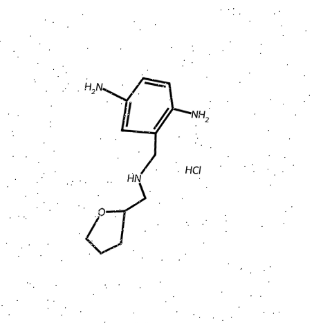 Cl.Nc1ccc(N)c(CNCC2CCCO2)c1